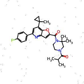 CC(C)C(=O)N1CCN(C(=O)c2cc3nc(-c4ccc(F)cc4)cc(C4(C)CC4)c3o2)C(C)(C)C1